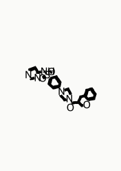 O=C(C1COc2ccccc2C1)N1CCN(c2ccc(S(=O)(=O)Nc3ccncn3)cc2)CC1